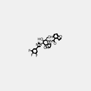 O=C(N[C@@H]1CCO[C@]12O[C@H](CO)[C@H](O)[C@H](n1cc(-c3cc(F)c(F)c(F)c3)nn1)[C@H]2O)c1cccc2occc12